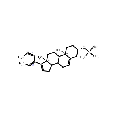 C/C=C(\C=N/C)C1=CCC2C3CC=C4C[C@@H](O[Si](C)(C)C(C)(C)C)CC[C@]4(C)C3CC[C@]12C